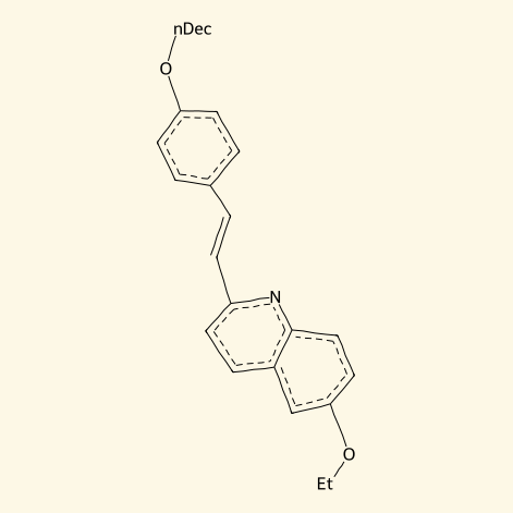 CCCCCCCCCCOc1ccc(C=Cc2ccc3cc(OCC)ccc3n2)cc1